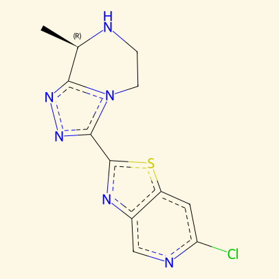 C[C@H]1NCCn2c(-c3nc4cnc(Cl)cc4s3)nnc21